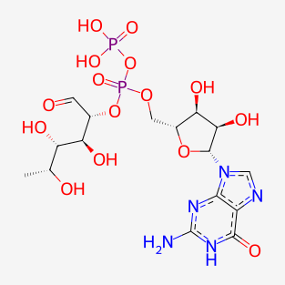 C[C@@H](O)[C@H](O)[C@H](O)[C@H](C=O)OP(=O)(OC[C@H]1O[C@@H](n2cnc3c(=O)[nH]c(N)nc32)[C@H](O)[C@@H]1O)OP(=O)(O)O